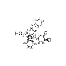 O=C(O)C12CN(Cc3ccccc3)CC1C1(c3ccc(Cl)c(F)c3)CCC2c2ccccc21